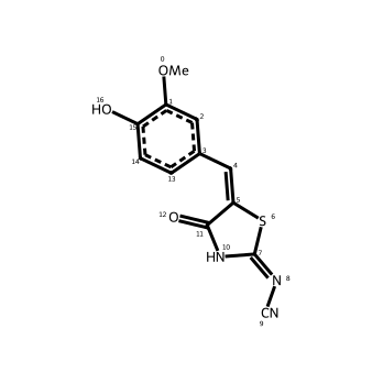 COc1cc(C=C2SC(=NC#N)NC2=O)ccc1O